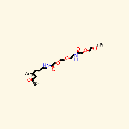 CCCOCCOCC(=O)NCCOCCOCC(=O)NCCCC[C@H](CC(=O)C(C)C)C(C)=O